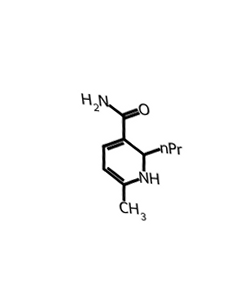 CCCC1NC(C)=CC=C1C(N)=O